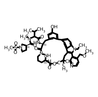 CCn1c(-c2cnccc2COC)c2c3cc(ccc31)-c1cc(O)cc(c1)C[C@H](NC(=O)C(C(C)C)N(C)C(=O)[C@H]1CCN(S(C)(=O)=O)C1)C(=O)N1CCC[C@H](N1)C(=O)OCC(C)(C)C2